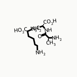 C[C@H](N)C(=O)N[C@H](C)C(=O)O.NCCCC[C@H](N)C(=O)O